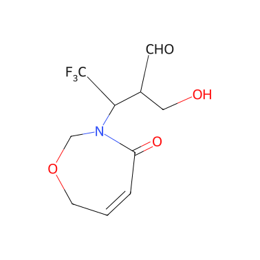 O=CC(CO)C(N1COCC=CC1=O)C(F)(F)F